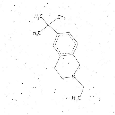 CCN1CCc2cc(C(C)(C)C)ccc2C1